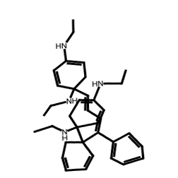 CCNC1=CCC(C=CC=C(c2ccccc2)C2(C3(NCC)C=CC(NCC)=CC3)C=CC=CC2)(NCC)C=C1